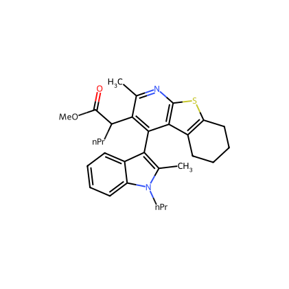 CCCC(C(=O)OC)c1c(C)nc2sc3c(c2c1-c1c(C)n(CCC)c2ccccc12)CCCC3